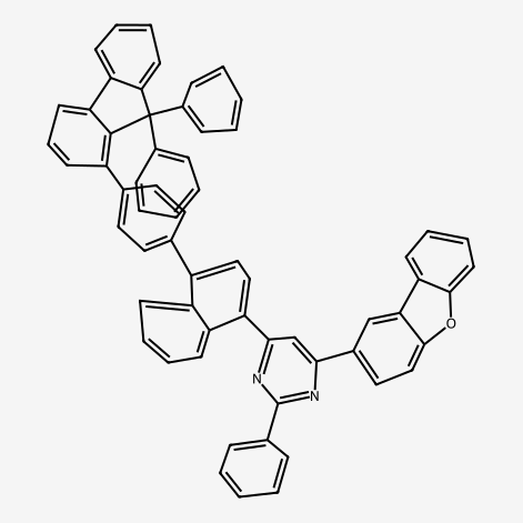 c1ccc(-c2nc(-c3ccc4oc5ccccc5c4c3)cc(-c3ccc(-c4ccc(-c5cccc6c5C(c5ccccc5)(c5ccccc5)c5ccccc5-6)cc4)c4ccccc34)n2)cc1